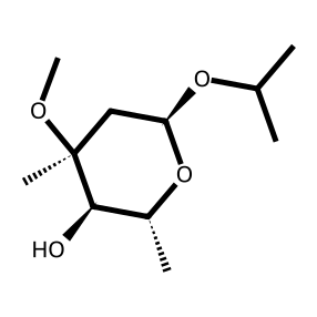 CO[C@@]1(C)C[C@@H](OC(C)C)O[C@H](C)[C@H]1O